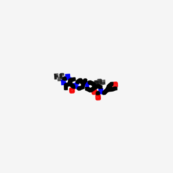 CCCCC1CN(CC2C3COCC32)C(=O)OC12CCN(C1(C)CCN(C(=O)c3c(C)nc(C(F)(F)F)nc3C)CC1)CC2